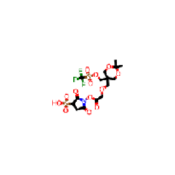 CC1(C)OCC(COCC(=O)ON2C(=O)CC(S(=O)(=O)O)C2=O)(COS(=O)(=O)C(F)(F)F)CO1